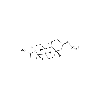 CC(=O)[C@H]1CC[C@H]2[C@@H]3CC[C@H]4C[C@H](OS(=O)(=O)O)CC[C@]4(C)[C@H]3CC[C@]12C